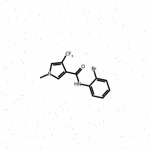 Cn1cc(C(=O)Nc2ccccc2Br)c(C(F)(F)F)c1